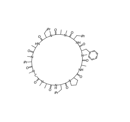 CC(C)CC1NC(=O)C(Cc2ccccc2)N(C)C(=O)C(C)NC(=O)C2CCCN2C(=O)C(CC(C)C)NC(=O)C(C)N(C)C(=O)CN(C)C(=O)C(C(C)C)N(C)C(=O)C(C)NC(=O)C(CC(C)C)N(C)C(=O)C(C)N(C)C1=O